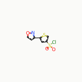 O=S(=O)(Cl)c1csc(-c2ccon2)c1